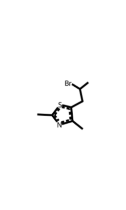 Cc1nc(C)c(CC(C)Br)s1